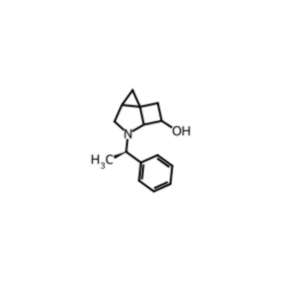 C[C@H](c1ccccc1)N1CC2CC23CC(O)C13